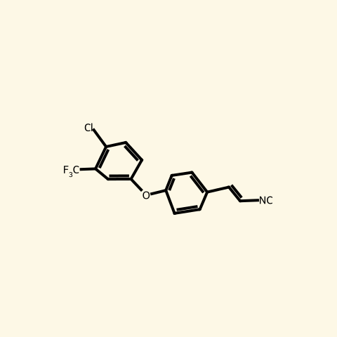 [C-]#[N+]C=Cc1ccc(Oc2ccc(Cl)c(C(F)(F)F)c2)cc1